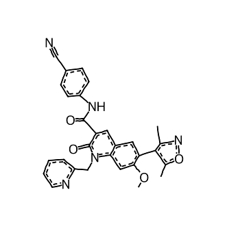 COc1cc2c(cc1-c1c(C)noc1C)cc(C(=O)Nc1ccc(C#N)cc1)c(=O)n2Cc1ccccn1